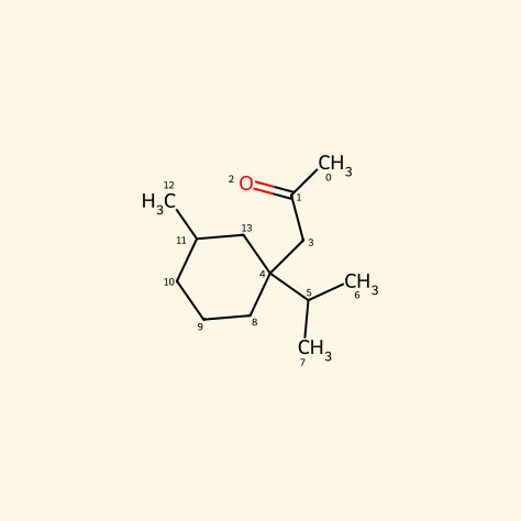 CC(=O)CC1(C(C)C)CCCC(C)C1